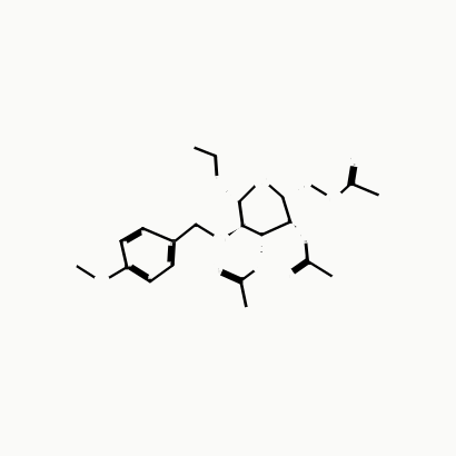 CCS[C@@H]1O[C@H](COC(C)=O)[C@H](OC(C)=O)[C@H](OC(C)=O)[C@H]1OCc1ccc(OC)cc1